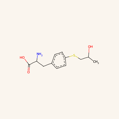 CC(O)CSc1ccc(CC(N)C(=O)O)cc1